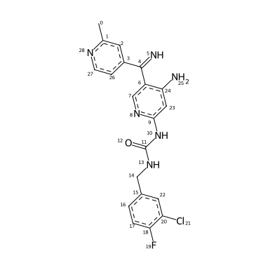 Cc1cc(C(=N)c2cnc(NC(=O)NCc3ccc(F)c(Cl)c3)cc2N)ccn1